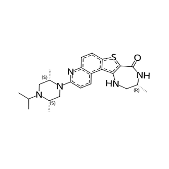 CC(C)N1C[C@H](C)N(c2ccc3c(ccc4sc5c(c43)NC[C@@H](C)NC5=O)n2)C[C@@H]1C